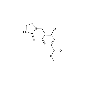 COC(=O)c1ccc(CN2CCNC2=O)c(OC)c1